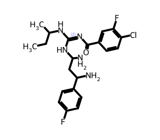 CCC(C)N/C(=N/C(=O)c1ccc(Cl)c(F)c1)NC(N)CC(N)c1ccc(F)cc1